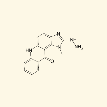 Cn1c(NN)nc2ccc3[nH]c4ccccc4c(=O)c3c21